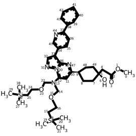 COC(=O)C[C@]1(O)CC[C@@H](c2cc(N(COCC[Si](C)(C)C)COCC[Si](C)(C)C)n3ncc(-c4ccc(-c5ccccc5)nc4)c3n2)CC1